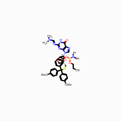 COc1ccc(C(SC[C@]23COC(C2OP(OCCC#N)N(C(C)C)C(C)C)[C@H](n2cnc4c(=O)[nH]c(/N=C/N(C)C)nc42)O3)(c2ccccc2)c2ccc(OC)cc2)cc1